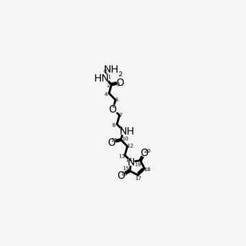 NNC(=O)CCOCCNC(=O)CCN1C(=O)C=CC1=O